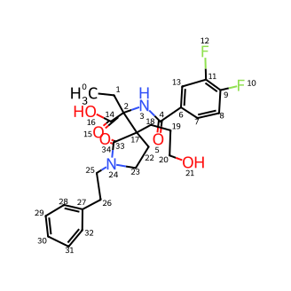 CCC(NC(=O)c1ccc(F)c(F)c1)(C(=O)O)C1(CCCO)CCN(CCc2ccccc2)C1=O